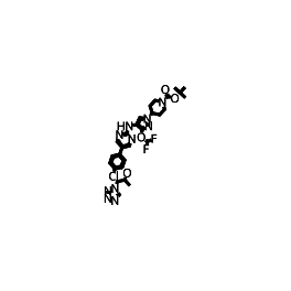 CC(Cn1cnnn1)Oc1cc(-c2cnc(Nc3cn(C4CCN(C(=O)OC(C)(C)C)CC4)nc3OC(F)F)nc2)ccc1Cl